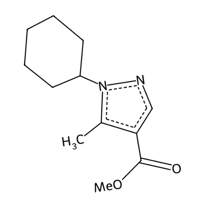 COC(=O)c1cnn(C2CCCCC2)c1C